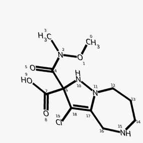 CON(C)C(=O)C1(C(=O)O)NN2CCCNCC2=C1Cl